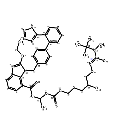 CCOc1nc2cccc(C(=O)OC(C)OC(=O)OCCCC(C)CO/N=[N+](\[O-])N(C)C(C)(C)C)c2n1Cc1ccc(-c2ccccc2-c2nnn[nH]2)cc1